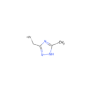 CCCCc1n[nH]c(C)n1